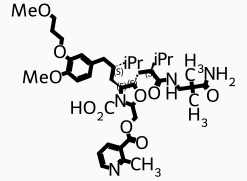 COCCCOc1cc(C[C@@H](C[C@H]2[C@H](C[C@H](C(=O)NCC(C)(C)C(N)=O)C(C)C)OC(COC(=O)c3cccnc3C)N2C(=O)O)C(C)C)ccc1OC